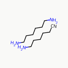 N#CCCCCCN.NCCCCCCN